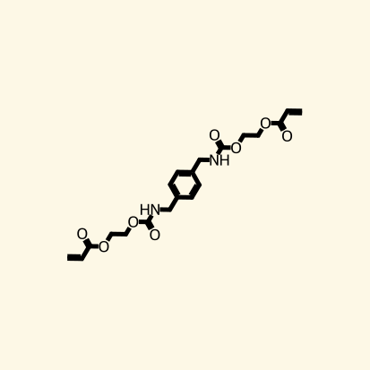 C=CC(=O)OCCOC(=O)NCc1ccc(CNC(=O)OCCOC(=O)C=C)cc1